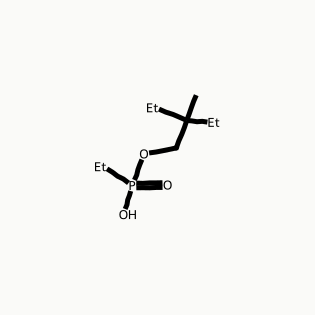 CCC(C)(CC)COP(=O)(O)CC